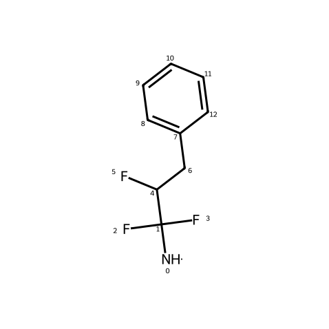 [NH]C(F)(F)C(F)Cc1ccccc1